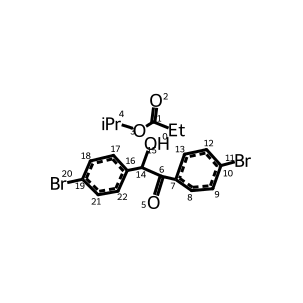 CCC(=O)OC(C)C.O=C(c1ccc(Br)cc1)C(O)c1ccc(Br)cc1